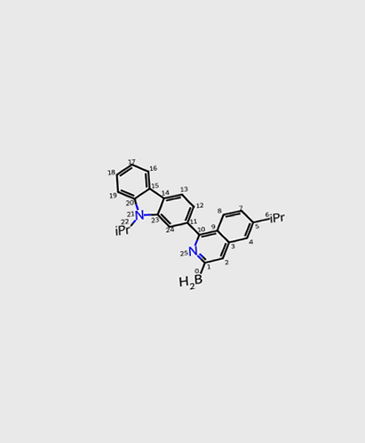 Bc1cc2cc(C(C)C)ccc2c(-c2ccc3c4ccccc4n(C(C)C)c3c2)n1